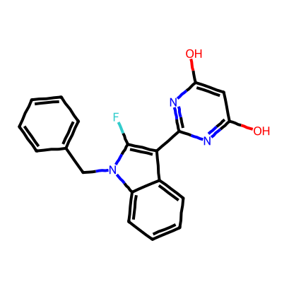 Oc1cc(O)nc(-c2c(F)n(Cc3ccccc3)c3ccccc23)n1